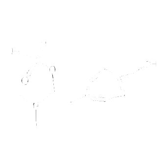 CN(C)C(Cc1ccc(O)cc1)OS(=O)(=O)O